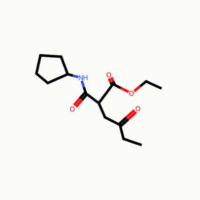 CCOC(=O)C(CC(=O)CC)C(=O)NC1CCCC1